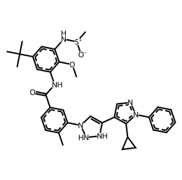 COc1c(NC(=O)c2ccc(C)c(N3C=C(c4cnn(-c5ccccc5)c4C4CC4)NN3)c2)cc(C(C)(C)C)cc1N[S+](C)[O-]